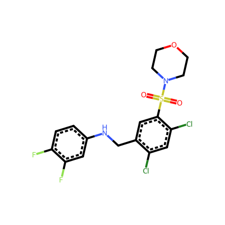 O=S(=O)(c1cc(CNc2ccc(F)c(F)c2)c(Cl)cc1Cl)N1CCOCC1